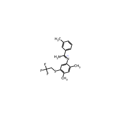 Cc1cccc(/C(N)=N/c2cc(SCC(F)(F)F)c(C)cc2C)c1